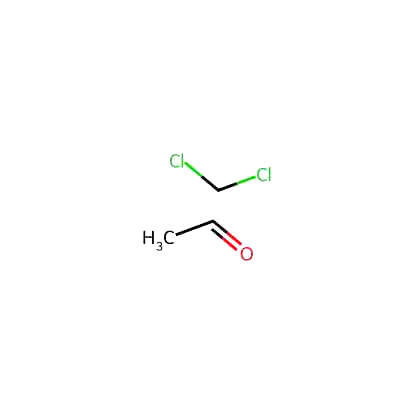 CC=O.ClCCl